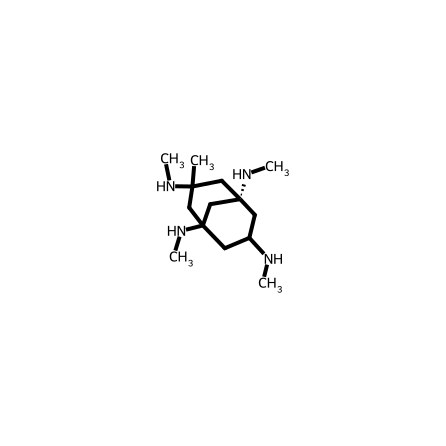 CNC1CC2(NC)CC(C)(NC)C[C@@](NC)(C1)C2